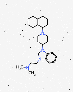 CN(C)CCN1[CH]N(C2CCN(C3CCCC4CCCCC43)CC2)c2ccccc21